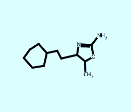 CC1OC(N)=NC1CCC1CCCCC1